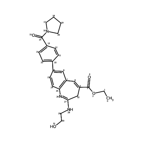 CCOC(=O)C1=Cc2cc(-c3ccc(C(=O)N4CCCC4)cc3)ccc2N=C(NCCO)C1